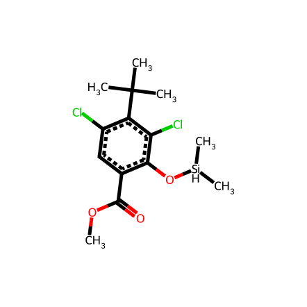 COC(=O)c1cc(Cl)c(C(C)(C)C)c(Cl)c1O[SiH](C)C